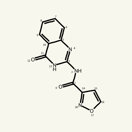 O=C(Nc1nc2ccccc2c(=O)[nH]1)c1ccon1